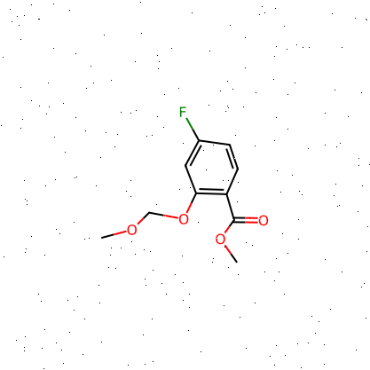 COCOc1cc(F)ccc1C(=O)OC